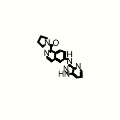 O=C(c1nccc2cc(Nc3n[nH]c4cccnc34)ccc12)N1CCCC1